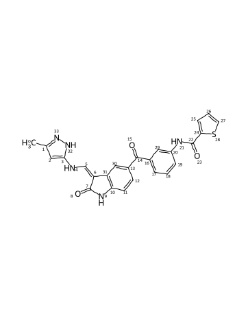 Cc1cc(N/C=C2\C(=O)Nc3ccc(C(=O)c4cccc(NC(=O)c5cccs5)c4)cc32)[nH]n1